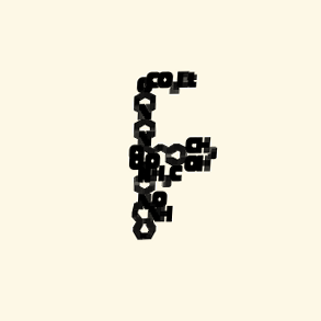 CCOC(=O)OC1CCN(C2CCN(C(=O)[C@@H](Cc3cc(C)c(O)c(C)c3)OC(=O)N3CCC(N4CCc5ccccc5NC4=O)CC3)CC2)CC1